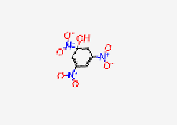 O=[N+]([O-])C1=CC(O)([N+](=O)[O-])CC([N+](=O)[O-])=C1